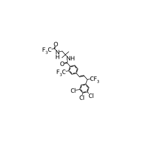 CC(C)(CNC(=O)C(F)(F)F)NC(=O)c1ccc(/C=C/C(c2cc(Cl)c(Cl)c(Cl)c2)C(F)(F)F)cc1C(F)(F)F